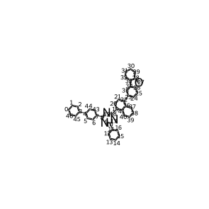 c1ccc(-c2ccc(-c3nc(-c4ccccc4)nc(-c4ccc(-c5ccc6oc7ccccc7c6c5)c5ccccc45)n3)cc2)cc1